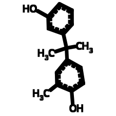 Cc1cc(C(C)(C)c2cccc(O)c2)ccc1O